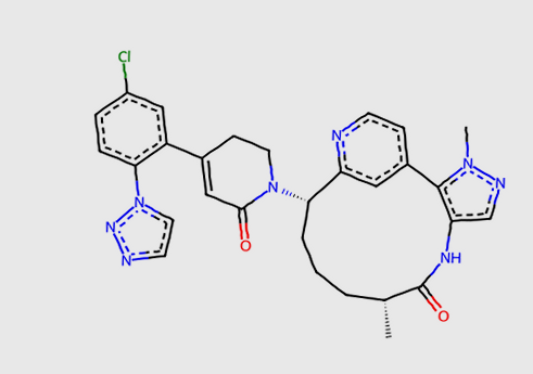 C[C@@H]1CCC[C@H](N2CCC(c3cc(Cl)ccc3-n3ccnn3)=CC2=O)c2cc(ccn2)-c2c(cnn2C)NC1=O